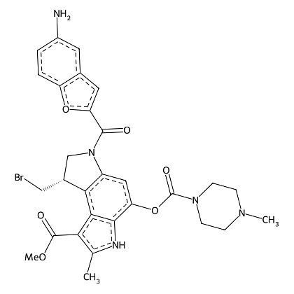 COC(=O)c1c(C)[nH]c2c(OC(=O)N3CCN(C)CC3)cc3c(c12)[C@H](CBr)CN3C(=O)c1cc2cc(N)ccc2o1